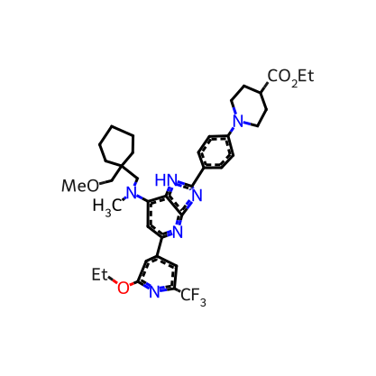 CCOC(=O)C1CCN(c2ccc(-c3nc4nc(-c5cc(OCC)nc(C(F)(F)F)c5)cc(N(C)CC5(COC)CCCCC5)c4[nH]3)cc2)CC1